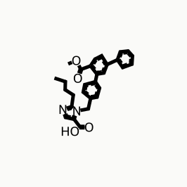 CCCCc1ncc(C(=O)O)n1Cc1ccc(-c2cc(-c3ccccc3)ccc2C(=O)OC)cc1